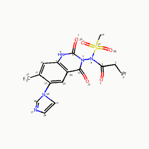 CC(C)CC(=O)N(n1c(=O)[nH]c2cc(C(F)(F)F)c(-n3ccnc3)cc2c1=O)S(C)(=O)=O